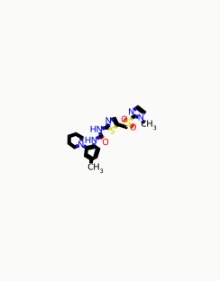 Cc1ccc(NC(=O)Nc2ncc(CS(=O)(=O)c3nccn3C)s2)c(N2CCCCC2)c1